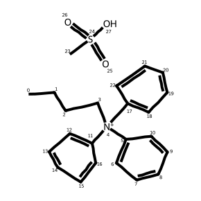 CCCC[N+](c1ccccc1)(c1ccccc1)c1ccccc1.CS(=O)(=O)O